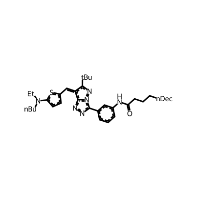 CCCCCCCCCCCCCC(=O)Nc1cccc(-c2nnc3/c(=C\c4ccc(N(CC)CCCC)s4)c(C(C)(C)C)nn23)c1